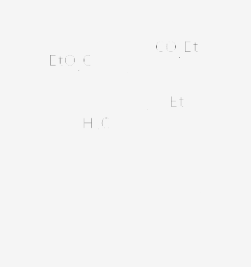 CCOC(=O)C(C(=O)OCC)C(C)(CC)c1ccccc1